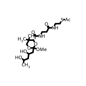 COC1(CC(O)CC(C)O)OCC(C)(C)[C@H](C(=O)NCCC(=O)NCCSC(C)=O)O1